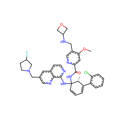 COc1cc(C(=O)NC2(Nc3nccc4cc(CN5CCC(F)C5)cnc34)C=CC=C(c3ccccc3Cl)[C@H]2C)ncc1CNC1COC1